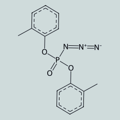 Cc1ccccc1OP(=O)(N=[N+]=[N-])Oc1ccccc1C